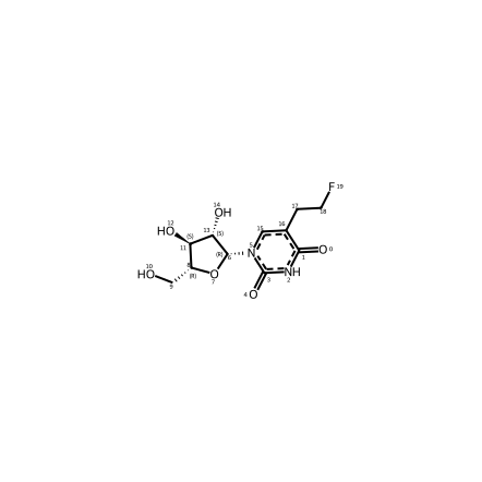 O=c1[nH]c(=O)n([C@@H]2O[C@H](CO)[C@@H](O)[C@@H]2O)cc1CCF